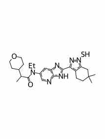 CCN(C(=O)C(C)C1CCOCC1)c1cnc2[nH]c(-c3nn(S)c4c3CCC(C)(C)C4)nc2c1